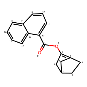 O=C(OC1=C2CCC(C2)C1)c1cccc2ccccc12